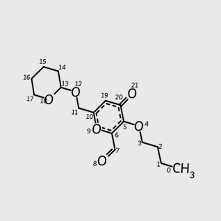 CCCCOc1c(C=O)oc(COC2CCCCO2)cc1=O